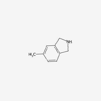 Cc1ccc2c(c1)CNC2